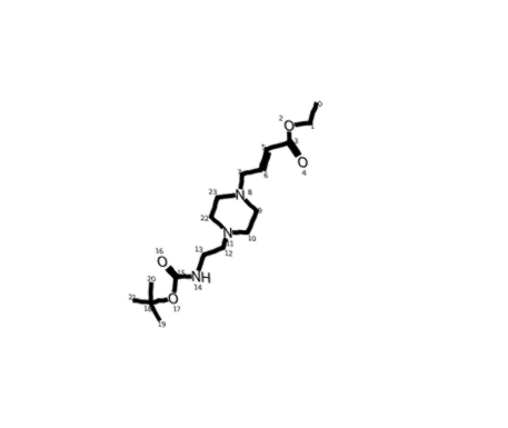 CCOC(=O)/C=C/CN1CCN(CCNC(=O)OC(C)(C)C)CC1